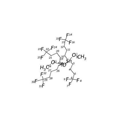 C[O][Sn]([CH2]CCC(F)(F)F)([CH2]CCC(F)(F)F)[O][Sn]([CH2]CCC(F)(F)F)([CH2]CCC(F)(F)F)[O]C